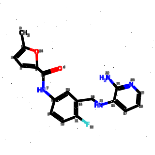 Cc1ccc(C(=O)Nc2ccc(F)c(CNc3cccnc3N)c2)o1